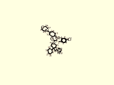 O=C([C@@H](Cc1ccc(Cl)cc1)N[C@H]1CC[C@H](N2CCOCC2)CC1)N1CCC(Cn2cncn2)(C2CCCCC2)CC1